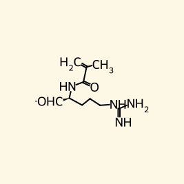 C=C(C)C(=O)N[C@H]([C]=O)CCCNC(=N)N